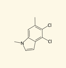 Cc1cc2c(ccn2C)c(Cl)c1Cl